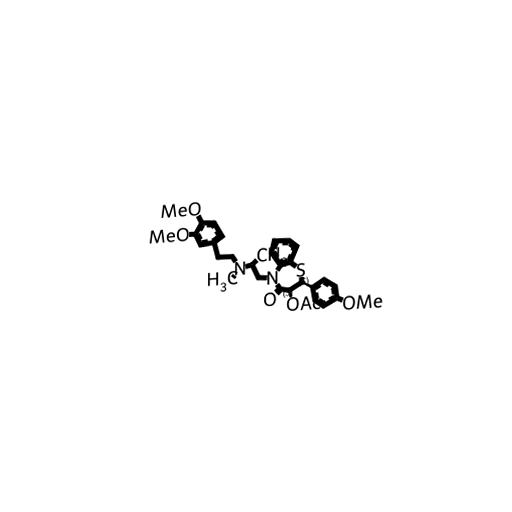 COc1ccc([C@@H]2Sc3ccccc3N(CC(C)N(C)CCc3ccc(OC)c(OC)c3)C(=O)[C@@H]2OC(C)=O)cc1